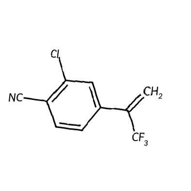 C=C(c1ccc(C#N)c(Cl)c1)C(F)(F)F